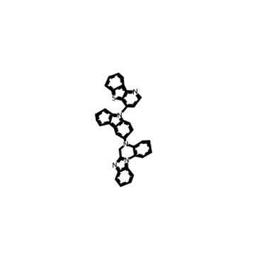 c1ccc2c(c1)N(c1ccc3c(c1)c1ccccc1n3-c1ccnc3c1sc1ccccc13)Cc1nc3ccccc3n1-2